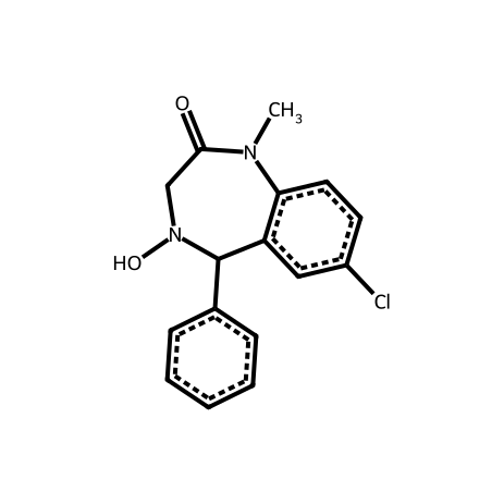 CN1C(=O)CN(O)C(c2ccccc2)c2cc(Cl)ccc21